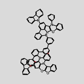 c1ccc(-c2cccc(-c3cccc(-c4cccc(B5c6ccccc6-c6cc(-n7c8ccccc8c8ccccc87)cc7c8c(n5c67)Oc5ccccc5N8c5ccccc5)c4)c3)c2B2c3ccccc3N3c4c(cc(-n5c6ccccc6c6ccccc65)cc42)Oc2oc4ccccc4c23)cc1